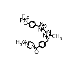 Cc1nc(-c2nc(-c3ccc(OC(F)(F)F)cc3)no2)nn1Cc1ccc(C(=O)N2CCN(C)CC2)cc1